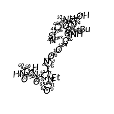 CCN(c1cc(-c2ccc(OCCOCCOCC(=O)NC(C(=O)N3C[C@H](O)C[C@H]3C(=O)N[C@@H](C)c3ccc(-c4scnc4C)cc3)C(C)(C)C)nc2)cc(C(=O)NCc2c(C)cc(C)[nH]c2=O)c1C)C1CCOCC1